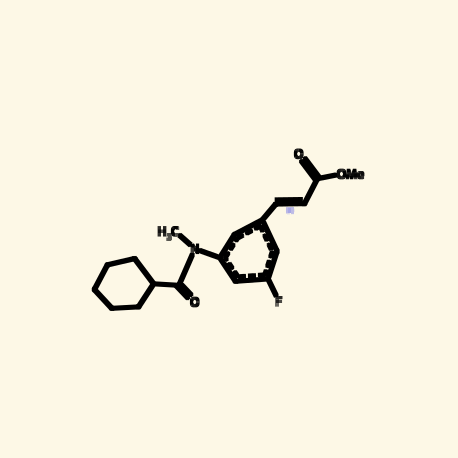 COC(=O)/C=C/c1cc(F)cc(N(C)C(=O)C2CCCCC2)c1